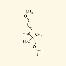 COCCSC(=O)C(C)(C)COC1CCC1